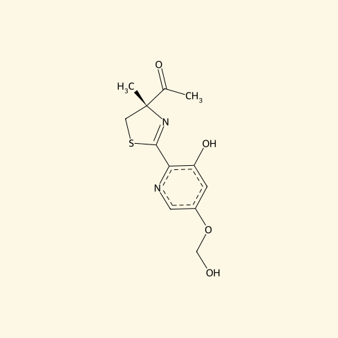 CC(=O)[C@@]1(C)CSC(c2ncc(OCO)cc2O)=N1